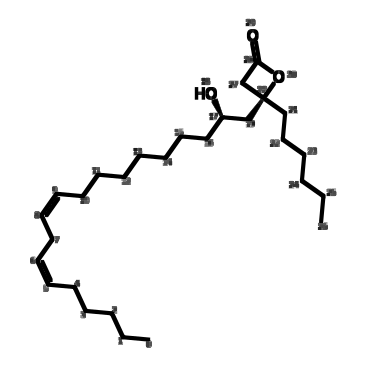 CCCCC/C=C\C/C=C\CCCCCCC[C@@H](O)C[C@@]1(CCCCCC)CC(=O)O1